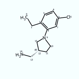 CCc1ccc(Cl)cc1N1CC[C@H](CN)C1